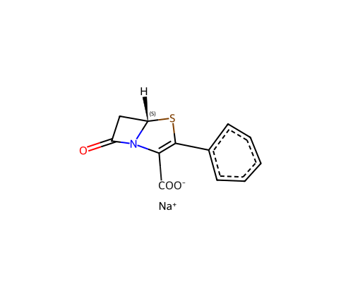 O=C([O-])C1=C(c2ccccc2)S[C@H]2CC(=O)N12.[Na+]